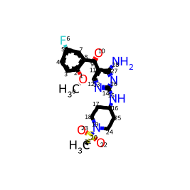 COc1ccc(F)cc1C(=O)c1cnc(NC2CCN(S(C)(=O)=O)CC2)nc1N